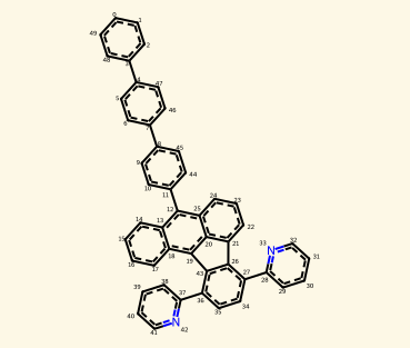 c1ccc(-c2ccc(-c3ccc(-c4c5ccccc5c5c6c(cccc46)-c4c(-c6ccccn6)ccc(-c6ccccn6)c4-5)cc3)cc2)cc1